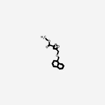 CCOC(=O)c1cc(COCc2cccc3ccccc23)on1